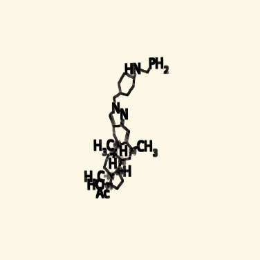 CC(=O)[C@@]1(O)CC[C@H]2[C@@H]3C[C@H](C)C4=Cc5nn(CC6CCC(NCP)CC6)cc5C[C@]4(C)[C@H]3CC[C@@]21C